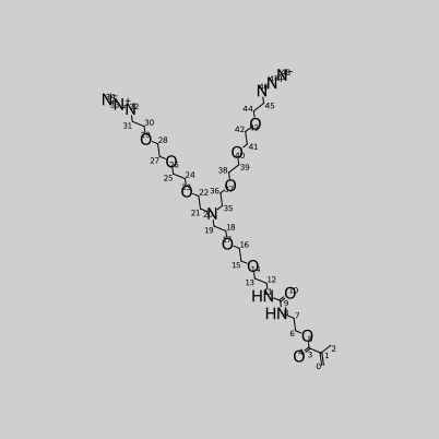 C=C(C)C(=O)OCCNC(=O)NCCOCCOCCN(CCOCCOCCOCCN=[N+]=[N-])CCOCCOCCOCCN=[N+]=[N-]